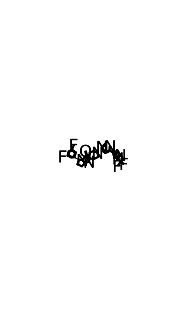 O=C1N2C(=NC13CCN(c1cc(-c4cnn(C(F)F)c4)ncn1)CC3)CC[C@H]2c1cc(F)cc(F)c1